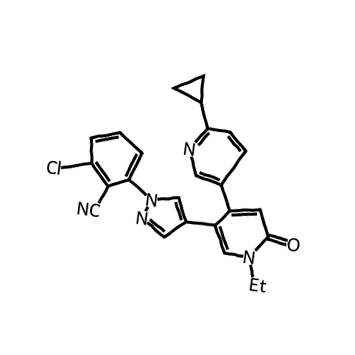 CCn1cc(-c2cnn(-c3cccc(Cl)c3C#N)c2)c(-c2ccc(C3CC3)nc2)cc1=O